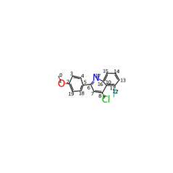 COc1ccc(-c2cc(Cl)c3c(F)cccc3n2)cc1